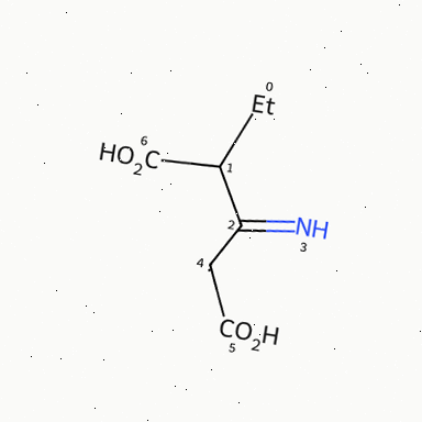 CCC(C(=N)[CH]C(=O)O)C(=O)O